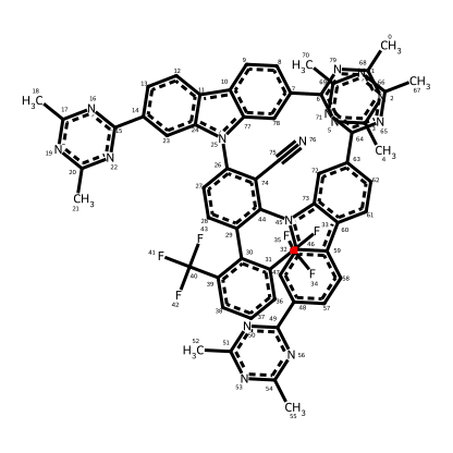 Cc1nc(C)nc(-c2ccc3c4ccc(-c5nc(C)nc(C)n5)cc4n(-c4ccc(-c5c(C(F)(F)F)cccc5C(F)(F)F)c(-n5c6cc(-c7nc(C)nc(C)n7)ccc6c6ccc(-c7nc(C)nc(C)n7)cc65)c4C#N)c3c2)n1